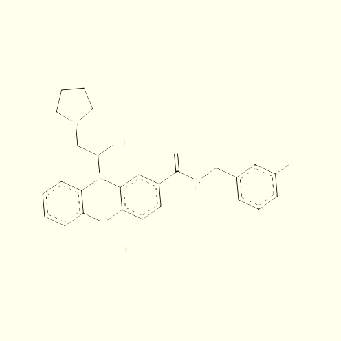 CC(CN1CCCC1)N1c2ccccc2Sc2ccc(C(=O)NCc3cccc(Cl)c3)cc21.Cl